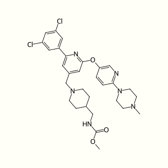 COC(=O)NCC1CCN(Cc2cc(Oc3ccc(N4CCN(C)CC4)nc3)nc(-c3cc(Cl)cc(Cl)c3)c2)CC1